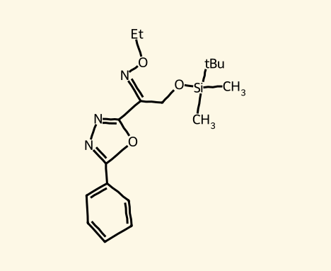 CCON=C(CO[Si](C)(C)C(C)(C)C)c1nnc(-c2ccccc2)o1